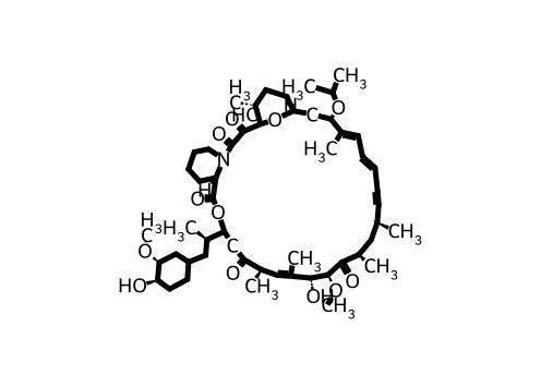 CO[C@@H]1CC(C[C@@H](C)C2CC(=O)[C@H](C)/C=C(\C)[C@@H](O)[C@@H](OC)C(=O)[C@H](C)C[C@H](C)/C=C/C=C/C=C(\C)[C@H](OC(C)C)C[C@@H]3CC[C@@H](C)[C@@](O)(O3)C(=O)C(=O)N3CCCC[C@H]3C(=O)O2)CC[C@H]1O